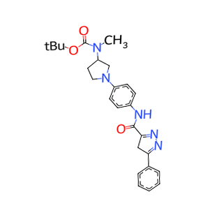 CN(C(=O)OC(C)(C)C)C1CCN(c2ccc(NC(=O)C3=NN=C(c4ccccc4)C3)cc2)C1